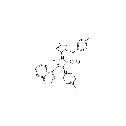 CC1=C(c2cccc3ccccc23)C(N2CCN(C)CC2)C(=C=O)N1c1cncn1Cc1ccc(C)cc1